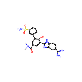 CN(C)C(=O)c1cc(-c2cccc(S(N)(=O)=O)c2)c(O)c(-c2nc3cc(C(=N)N)ccc3[nH]2)c1